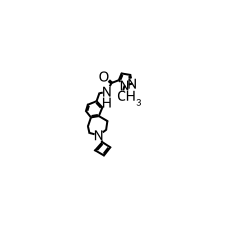 Cn1nccc1C(=O)NCc1ccc2c(c1)CCN(C1=CC=C1)CC2